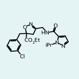 CCOC(=O)C1(Cc2cccc(Cl)c2)CC(CNC(=O)c2ccnn2C(C)C)=NO1